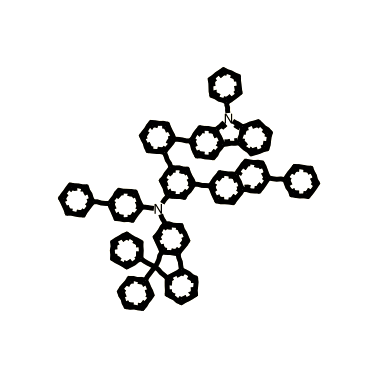 c1ccc(-c2ccc(N(c3cc(-c4ccc5cc(-c6ccccc6)ccc5c4)cc(-c4ccccc4-c4ccc5c6ccccc6n(-c6ccccc6)c5c4)c3)c3ccc4c(c3)C(c3ccccc3)(c3ccccc3)c3ccccc3-4)cc2)cc1